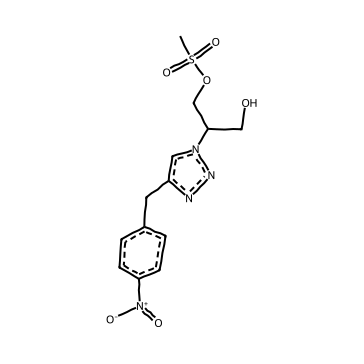 CS(=O)(=O)OCC(CO)n1cc(Cc2ccc([N+](=O)[O-])cc2)nn1